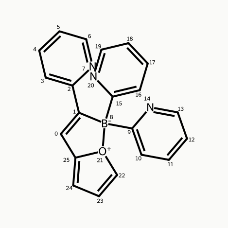 C1=C(c2ccccn2)[B-](c2ccccn2)(c2ccccn2)[o+]2cccc21